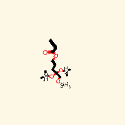 C=CC(=O)OCCCC(CO[SiH3])(O[SiH](C)C)O[SiH](C)C